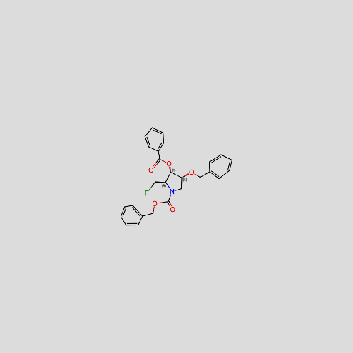 O=C(O[C@H]1[C@@H](OCc2ccccc2)CN(C(=O)OCc2ccccc2)[C@H]1CF)c1ccccc1